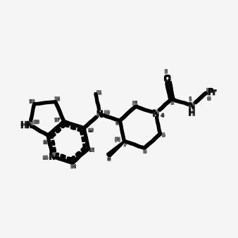 CC(C)NC(=O)N1CC[C@@H](C)C(N(C)c2ccnc3c2CCN3)C1